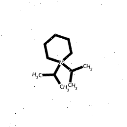 CC(C)[N+]1(C(C)C)CCCCC1